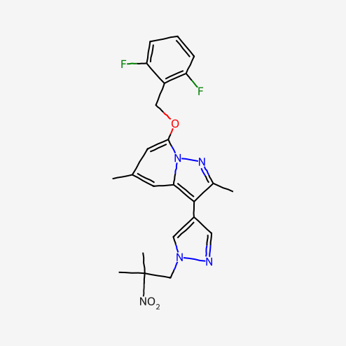 Cc1cc(OCc2c(F)cccc2F)n2nc(C)c(-c3cnn(CC(C)(C)[N+](=O)[O-])c3)c2c1